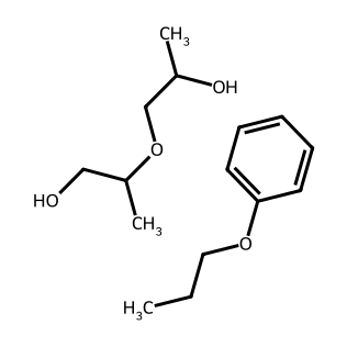 CC(O)COC(C)CO.CCCOc1ccccc1